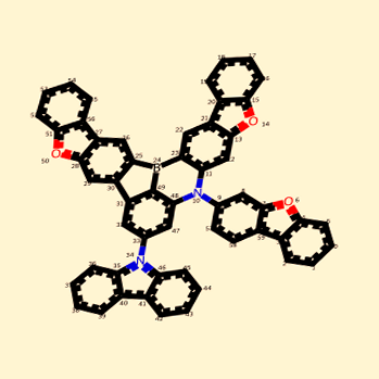 c1ccc2c(c1)oc1cc(N3c4cc5oc6ccccc6c5cc4B4c5cc6c(cc5-c5cc(-n7c8ccccc8c8ccccc87)cc3c54)oc3ccccc36)ccc12